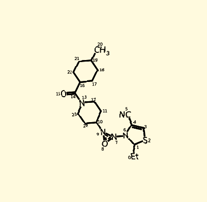 CCC1SC=C(C#N)N1n1on1C1CCN(C(=O)C2CCC(C)CC2)CC1